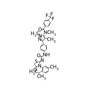 Cc1ccc(C(C)C)c(N2C(=O)CS/C2=N\C(=O)Nc2ccc(-c3nn(C)c(N(C)C(=O)c4ccc(C(F)(F)F)cc4)c3C)cc2)c1